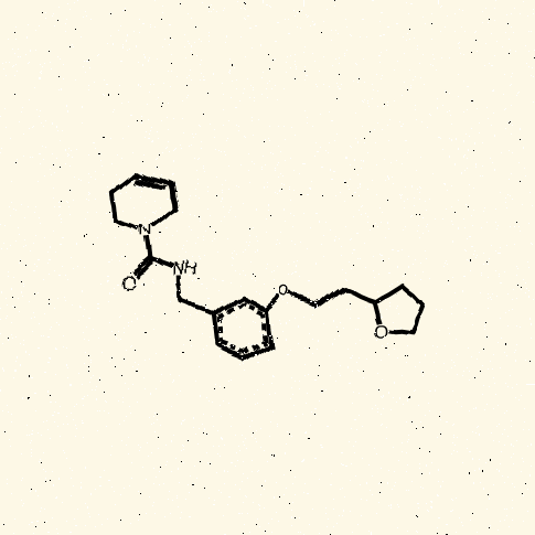 O=C(NCc1cccc(OCCC2CCCO2)c1)N1CC=CCC1